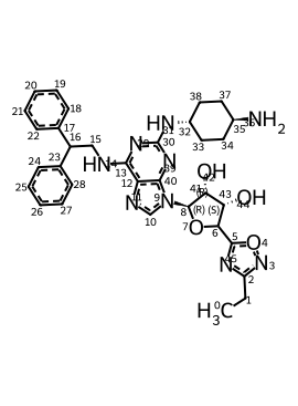 CCc1noc(C2O[C@@H](n3cnc4c(NCC(c5ccccc5)c5ccccc5)nc(N[C@H]5CC[C@H](N)CC5)nc43)[C@H](O)[C@@H]2O)n1